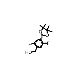 CC1(C)OB(c2cc(F)c(CO)cc2F)OC1(C)C